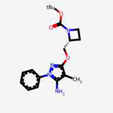 Cc1c(OC[C@H]2CCN2C(=O)OC(C)(C)C)nn(-c2ccccc2)c1N